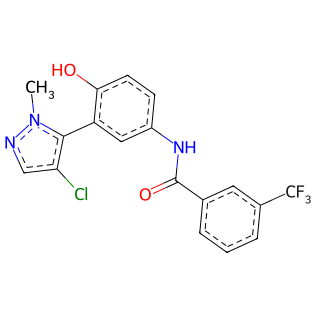 Cn1ncc(Cl)c1-c1cc(NC(=O)c2cccc(C(F)(F)F)c2)ccc1O